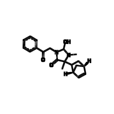 CN1C(O)N(CC(=O)c2ccccc2)C(=O)C1(C)C1C[C@@H]2C=C[C@H]1C2